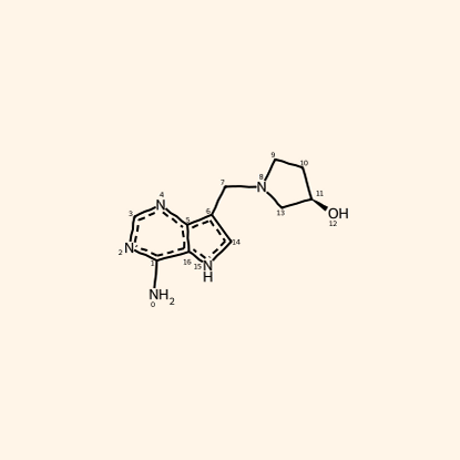 Nc1ncnc2c(CN3CC[C@@H](O)C3)c[nH]c12